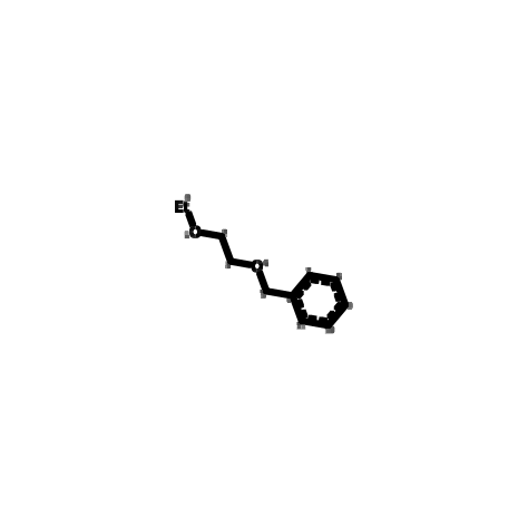 CCOCCO[CH]c1ccccc1